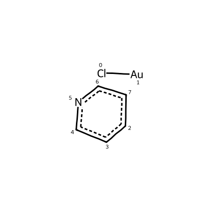 [Cl][Au].c1ccncc1